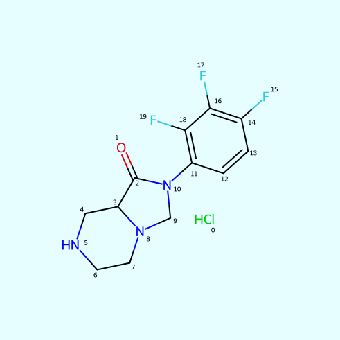 Cl.O=C1C2CNCCN2CN1c1ccc(F)c(F)c1F